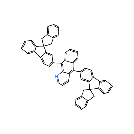 c1ccc2c(c1)CC1(C2)c2ccccc2-c2ccc(-c3c4ccccc4c(-c4ccc5c(c4)C4(Cc6ccccc6C4)c4ccccc4-5)c4ncccc34)cc21